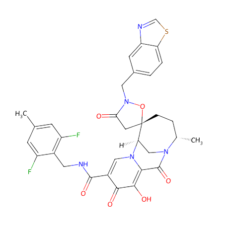 Cc1cc(F)c(CNC(=O)c2cn3c(c(O)c2=O)C(=O)N2C[C@@H]3[C@]3(CC[C@@H]2C)CC(=O)N(Cc2ccc4scnc4c2)O3)c(F)c1